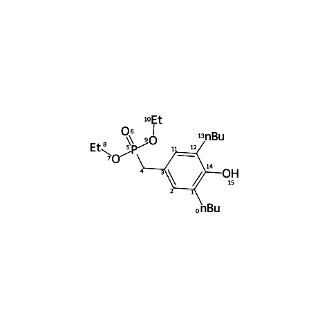 CCCCc1cc(CP(=O)(OCC)OCC)cc(CCCC)c1O